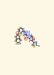 Cc1nc(-c2cc(C(=O)NC(=S)Nc3cccc(OC4Cc5ccccc5C4)c3)no2)cs1